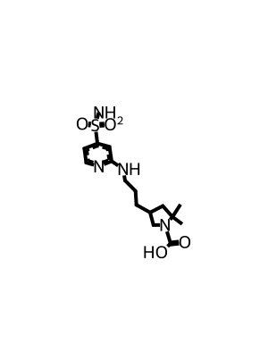 CC1(C)CC(CCCNc2cc(S(N)(=O)=O)ccn2)CN1C(=O)O